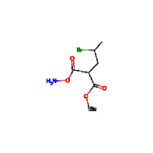 CC(Br)CC(C(=O)ON)C(=O)OC(C)(C)C